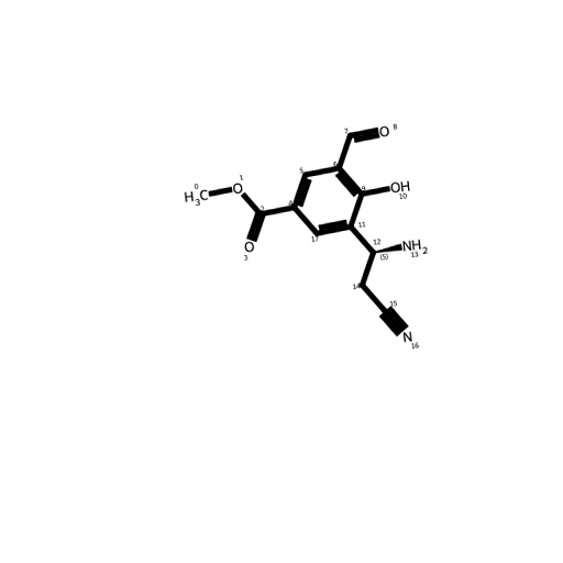 COC(=O)c1cc(C=O)c(O)c([C@@H](N)CC#N)c1